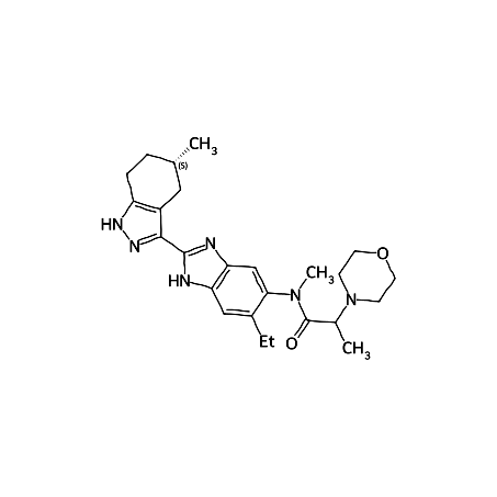 CCc1cc2[nH]c(-c3n[nH]c4c3C[C@@H](C)CC4)nc2cc1N(C)C(=O)C(C)N1CCOCC1